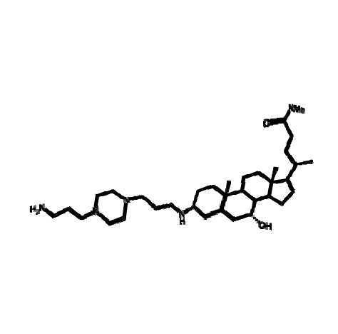 CNC(=O)CC[C@@H](C)C1CCC2C3C(CC[C@@]21C)[C@@]1(C)CC[C@H](NCCCN2CCN(CCCN)CC2)CC1C[C@H]3O